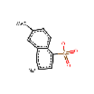 COc1ccc2c(S(=O)(=O)[O-])cccc2c1.[Na+]